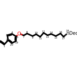 C=Cc1ccc(OCCCCCCCCCCCCCCCCCCCCC)cc1